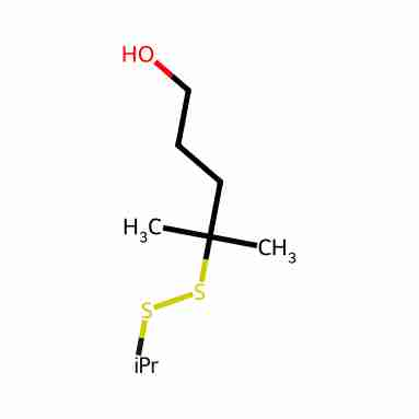 CC(C)SSC(C)(C)CCCO